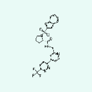 O=C(NCc1cc(-c2ccc(C(F)(F)F)nn2)ccn1)[C@@H]1CCCN1S(=O)(=O)c1cc2ccccc2o1